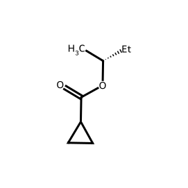 CC[C@@H](C)OC(=O)C1CC1